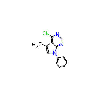 Cc1cn(-c2ccccc2)c2ncnc(Cl)c12